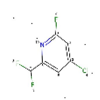 Fc1cc(Cl)cc(C(F)F)n1